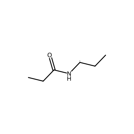 CC[CH]NC(=O)CC